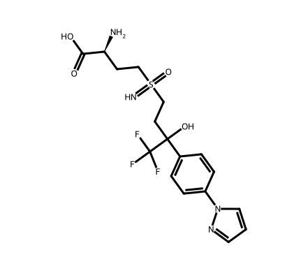 N=S(=O)(CC[C@H](N)C(=O)O)CCC(O)(c1ccc(-n2cccn2)cc1)C(F)(F)F